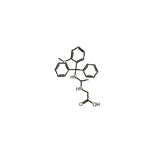 COc1ccccc1C(NC(C)NCC(=O)O)(c1ccccc1)c1ccccc1